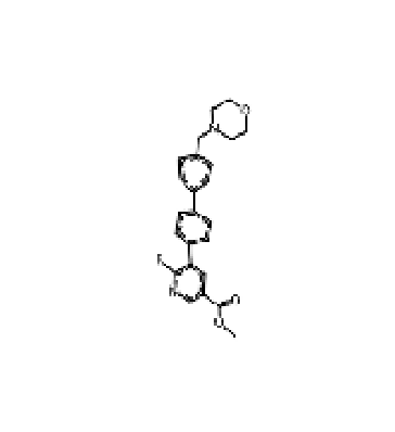 COC(=O)c1cnc(F)c(-c2ccc(-c3ccc(CN4CCOCC4)cc3)cc2)c1